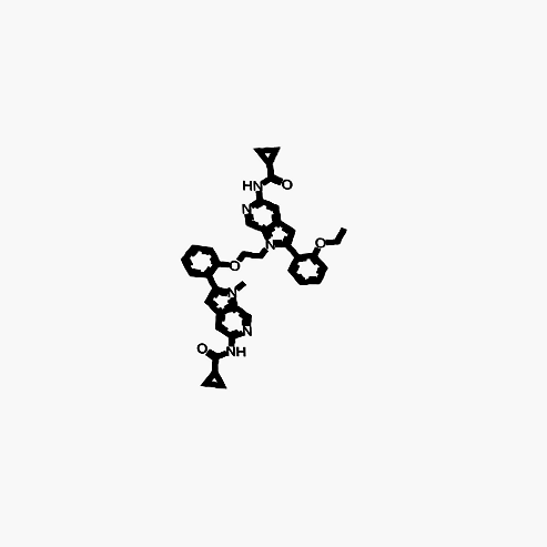 CCOc1ccccc1-c1cc2cc(NC(=O)C3CC3)ncc2n1CCOc1ccccc1-c1cc2cc(NC(=O)C3CC3)ncc2n1C